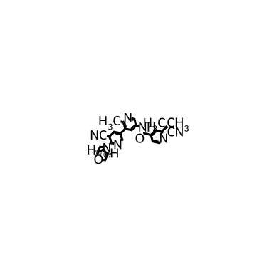 Cc1ncc(NC(=O)c2ccnc(C(C)(C)C#N)c2)cc1C1=CC(C#N)C(N2C[C@H]3C[C@@H]2CO3)N=C1